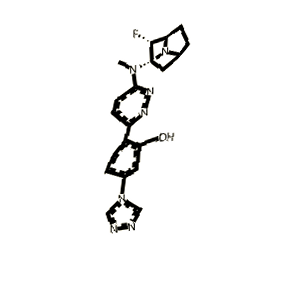 CN1C2CCC1[C@@H](F)[C@@H](N(C)c1ccc(-c3ccc(-n4cnnc4)cc3O)nn1)C2